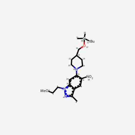 COCCn1nc(C)c2cc([N+](=O)[O-])c(N3CCC(CO[Si](C)(C)C(C)(C)C)CC3)cc21